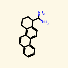 NC(N)C1CCCc2c1ccc1c2ccc2ccccc21